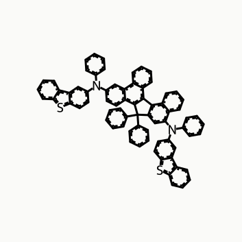 c1ccc(N(c2ccc3sc4ccccc4c3c2)c2ccc3c4c(c5ccccc5c3c2)-c2c(cc(N(c3ccccc3)c3ccc5sc6ccccc6c5c3)c3ccccc23)C4(c2ccccc2)c2ccccc2)cc1